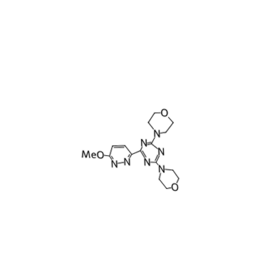 COc1ccc(-c2nc(N3CCOCC3)nc(N3CCOCC3)n2)nn1